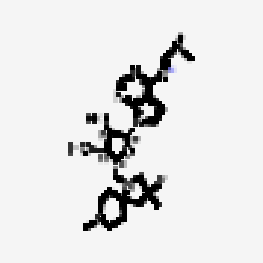 CN(C)/C=N/c1ncnc2c1ccn2[C@@H]1O[C@H](CN2CC(F)(F)CC23CCN(C)CC3)[C@@H](O)[C@H]1O